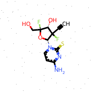 C#CC1(F)[C@@H](O)[C@@](F)(CO)O[C@H]1n1ccc(N)nc1=S